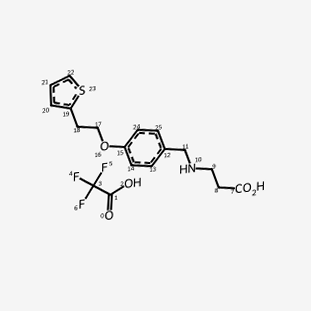 O=C(O)C(F)(F)F.O=C(O)CCNCc1ccc(OCCc2cccs2)cc1